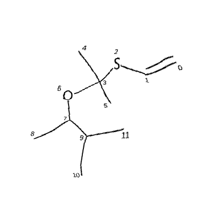 C=CSC(C)(C)OC(C)C(C)C